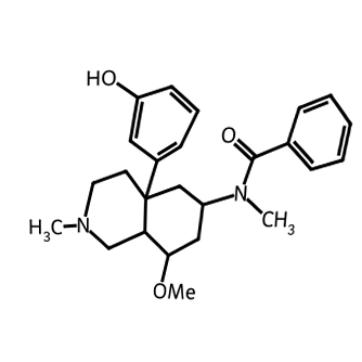 COC1CC(N(C)C(=O)c2ccccc2)CC2(c3cccc(O)c3)CCN(C)CC12